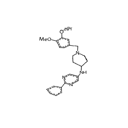 CCCOc1cc(CN2CCC(Nc3cnc(-c4ccccc4)nc3)CC2)ccc1OC